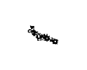 [O-][S+](C1CC1)N1CCN(c2ccc3nc(-c4ccc(OCc5ccccc5)cc4)[nH]c3n2)CC1